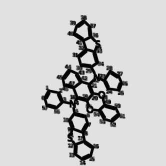 c1ccc(N(c2ccc3c(c2)sc2ccccc23)c2c3c(c(N(c4ccccc4)c4ccc5c(c4)sc4ccccc45)c4ccccc24)Oc2ccccc2O3)cc1